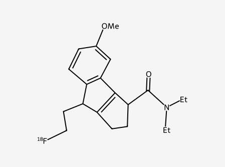 CCN(CC)C(=O)C1CCC2=C1c1cc(OC)ccc1C2CC[18F]